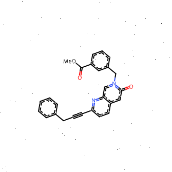 COC(=O)c1cccc(Cn2cc3nc(C#CCc4ccccc4)ccc3cc2=O)c1